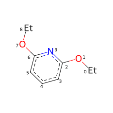 CCOc1cccc(OCC)n1